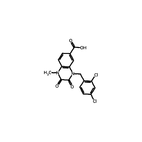 Cn1c(=O)c(=O)n(Cc2ccc(Cl)cc2Cl)c2cc(C(=O)O)ccc21